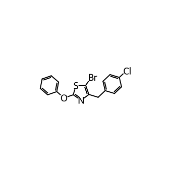 Clc1ccc(Cc2nc(Oc3ccccc3)sc2Br)cc1